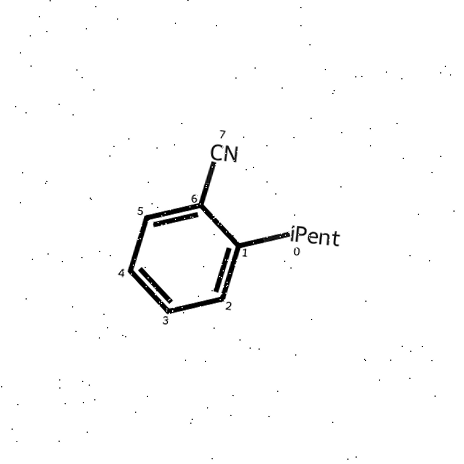 CCCC(C)c1ccccc1C#N